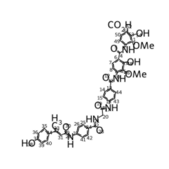 COc1c(NC(=O)c2ccc(NC(=O)c3ccc(NC(=O)CNC(=O)c4ccc(NC(=O)/C=C(\C)c5ccc(O)cc5)cc4)cc3)c(OC)c2O)ccc(C(=O)O)c1O